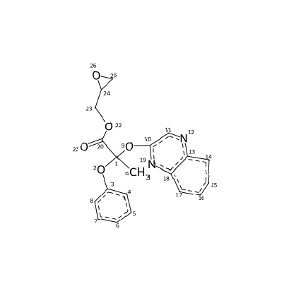 CC(Oc1ccccc1)(Oc1cnc2ccccc2n1)C(=O)OCC1CO1